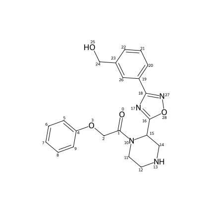 O=C(COc1ccccc1)N1CCNCC1c1nc(-c2cccc(CO)c2)no1